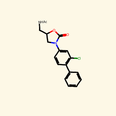 CC(=O)NCC1CN(c2ccc(-c3ccccc3)c(Cl)c2)C(=O)O1